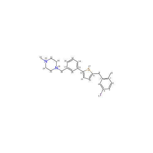 Cc1ccc(I)cc1Cc1ccc(-c2cccc(CN3CCN(C)CC3)c2)s1